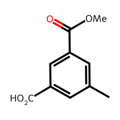 COC(=O)c1cc(C)cc(C(=O)O)c1